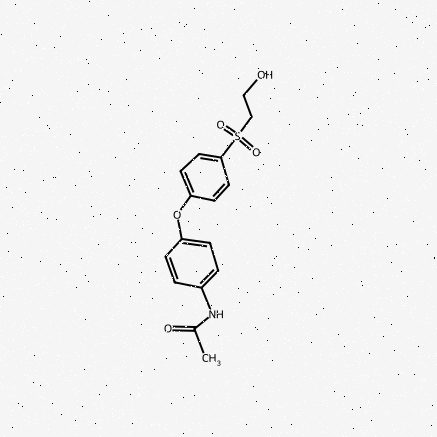 CC(=O)Nc1ccc(Oc2ccc(S(=O)(=O)CCO)cc2)cc1